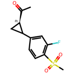 CC(=O)[C@@H]1CC1c1ccc(S(C)(=O)=O)c(F)c1